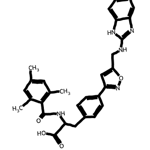 Cc1cc(C)c(C(=O)NC(Cc2ccc(-c3cc(CNc4nc5ccccc5[nH]4)on3)cc2)C(=O)O)c(C)c1